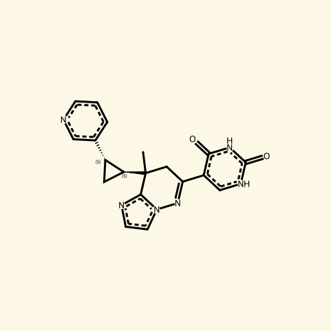 CC1([C@H]2C[C@@H]2c2cccnc2)CC(c2c[nH]c(=O)[nH]c2=O)=Nn2ccnc21